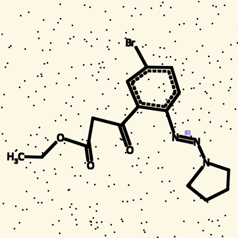 CCOC(=O)CC(=O)c1cc(Br)ccc1/N=N/N1CCCC1